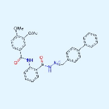 COc1ccc(C(=O)Nc2ccccc2C(=O)N/N=C/c2ccc(-c3ccccc3)cc2)cc1OC